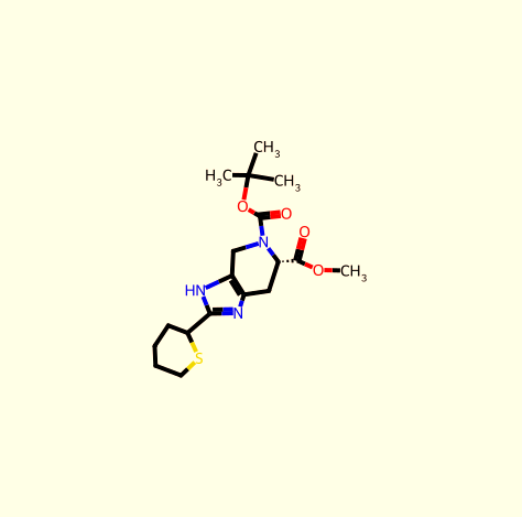 COC(=O)[C@@H]1Cc2nc(C3CCCCS3)[nH]c2CN1C(=O)OC(C)(C)C